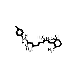 CC(C=CC1=C(C)CCCC1(C)C)=CC=CC(C)=CC(=O)NNc1ccc(I)cc1